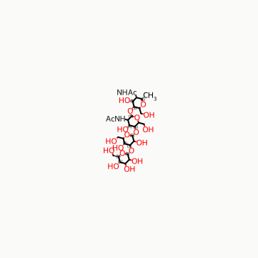 CC(=O)NC1[C@H](O[C@@H]2C(CO)O[C@@H](C)C(NC(C)=O)[C@H]2O)OC(CO)[C@@H](O[C@@H]2OC(CO)[C@@H](O)[C@H](O[C@H]3O[C@H](CO)[C@@H](O)C(O)C3O)C2O)[C@@H]1O